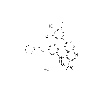 CS(=O)(=O)c1cnc2ccc(-c3cc(F)c(O)c(Cl)c3)cc2c1Nc1cccc(CCN2CCCC2)c1.Cl